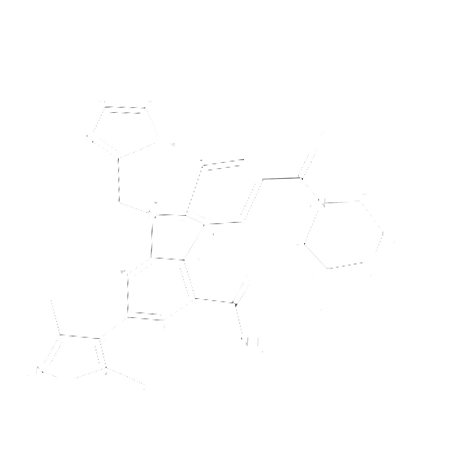 Cc1noc(C)c1-c1cc(C(N)=O)c2c3cc(C(=O)N4C[C@@H](C)O[C@@H](C)C4)ccc3n(Cc3nccs3)c2c1